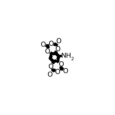 Nc1c2oc(=O)oc(=O)oc2cc2oc(=O)oc(=O)oc12